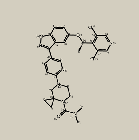 C[C@@H](Oc1ccc2[nH]nc(-c3ccc(N4CCN(C(=O)N(C)C)C5(CC5)C4)nc3)c2c1)c1c(Cl)cncc1Cl